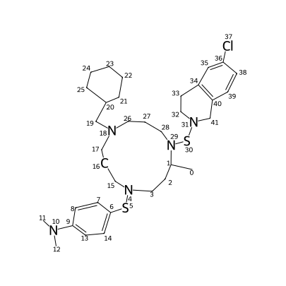 CC1CCN(Sc2ccc(N(C)C)cc2)CCCN(CC2CCCCC2)CCCN1SN1CCc2cc(Cl)ccc2C1